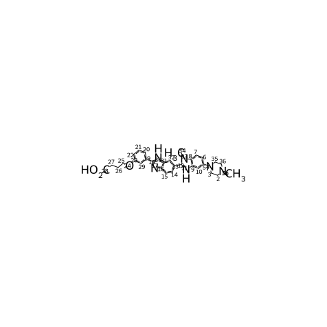 CN1CCN(c2ccc3c(c2)NC(c2ccc4nc(-c5cccc(OCCCC(=O)O)c5)[nH]c4c2)N3C)CC1